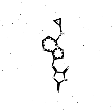 O=C1NC(=O)/C(=C\c2cnn3c(NC4CC4)ccnc23)S1